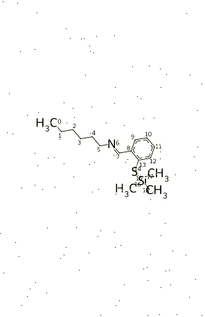 CCCCCCN=Cc1ccccc1S[Si](C)(C)C